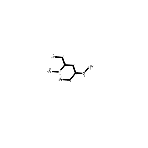 CCCOC(CC(C)C)CC(CC(C)C)OCCC